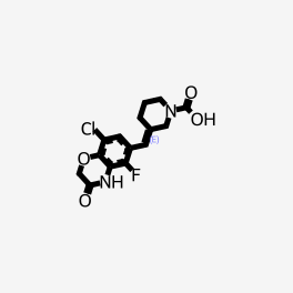 O=C1COc2c(Cl)cc(/C=C3\CCCN(C(=O)O)C3)c(F)c2N1